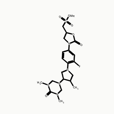 COS(=O)(=O)CC1CN(c2ccc(N3CC(C)C(N4CN(C)C(=O)N(C)C4)C3)c(F)c2)C(=O)O1